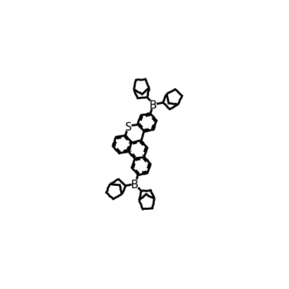 c1cc2c3c(cc4ccc(B(C5CC6CCC5C6)C5CC6CCC5C6)cc4c3c1)-c1ccc(B(C3CC4CCC3C4)C3CC4CCC3C4)cc1S2